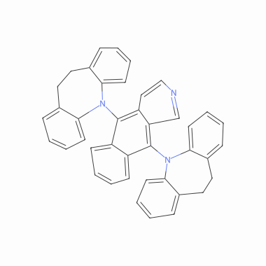 c1ccc2c(c1)CCc1ccccc1N2c1c2ccccc2c(N2c3ccccc3CCc3ccccc32)c2cnccc12